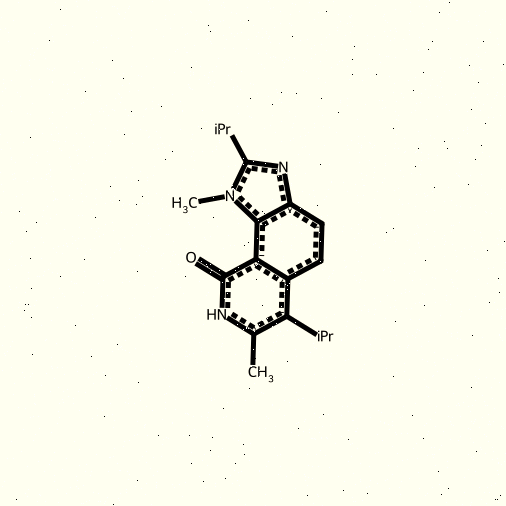 Cc1[nH]c(=O)c2c(ccc3nc(C(C)C)n(C)c32)c1C(C)C